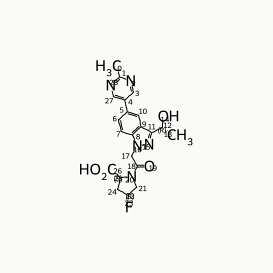 Cc1ncc(-c2ccc3c(c2)c([C@@H](C)O)nn3CC(=O)N2C[C@H](F)C[C@H]2C(=O)O)cn1